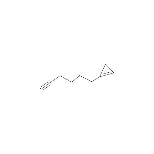 [C]#CCCCCC1=CC1